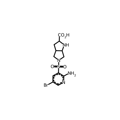 Nc1ncc(Br)cc1S(=O)(=O)N1CC2CC(C(=O)O)NC2C1